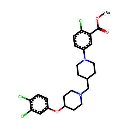 CC(C)(C)OC(=O)c1cc(N2CCC(CN3CCC(Oc4ccc(Cl)c(Cl)c4)CC3)CC2)ccc1Cl